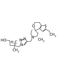 CCc1cc2c(s1)CCO[C@@]21CCN(Cc2cn(CC(C)(C)CCO)nn2)[C@@H](C)C1